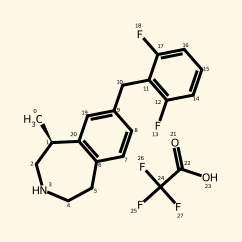 C[C@@H]1CNCCc2ccc(Cc3c(F)cccc3F)cc21.O=C(O)C(F)(F)F